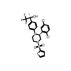 C[C@](O)(c1ccc(N2CCN(S(=O)(=O)c3cccs3)C[C@@H]2c2cc(Cl)ccc2Cl)cc1)C(F)(F)F